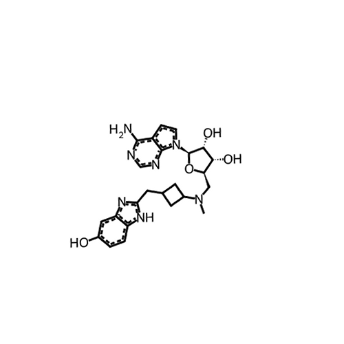 CN(C[C@H]1O[C@@H](n2ccc3c(N)ncnc32)[C@H](O)[C@@H]1O)C1CC(Cc2nc3cc(O)ccc3[nH]2)C1